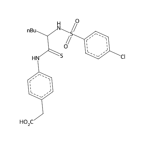 CCCCC(NS(=O)(=O)c1ccc(Cl)cc1)C(=S)Nc1ccc(CC(=O)O)cc1